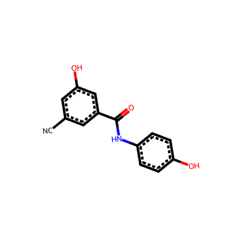 N#Cc1cc(O)cc(C(=O)Nc2ccc(O)cc2)c1